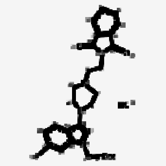 CCCCCCCCCCOn1nc(N2CCN(CCN3C(=O)c4ccccc4C3=O)CC2)c2ccc(F)cc21.Cl